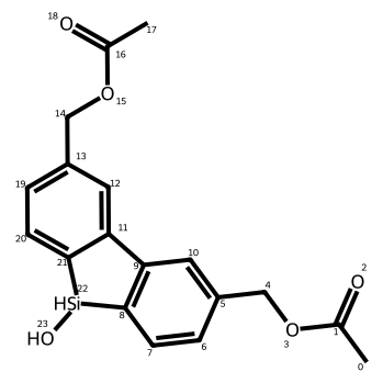 CC(=O)OCc1ccc2c(c1)-c1cc(COC(C)=O)ccc1[SiH]2O